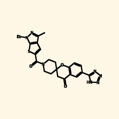 CCn1nc(C)c2cc(C(=O)N3CCC4(CC3)CC(=O)c3cc(-c5nnn[nH]5)ccc3O4)sc21